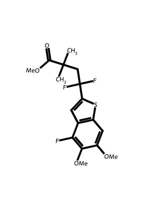 COC(=O)C(C)(C)CC(F)(F)c1cc2c(F)c(OC)c(OC)cc2s1